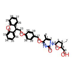 Cc1cn([C@H]2C[C@H](C)C(CO)O2)c(=O)nc1OCc1ccc(OCC2c3ccccc3Oc3ccccc32)cc1